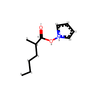 CCCCC(C)C(=O)On1cccc1